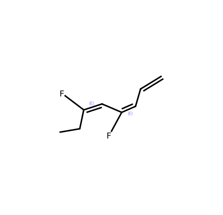 C=C/C=C(F)\C=C(\F)CC